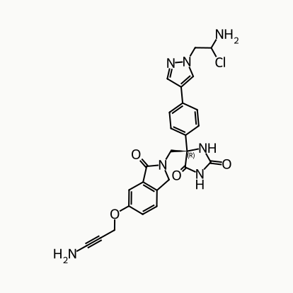 NC#CCOc1ccc2c(c1)C(=O)N(C[C@@]1(c3ccc(-c4cnn(CC(N)Cl)c4)cc3)NC(=O)NC1=O)C2